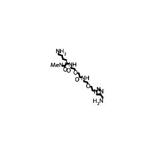 CNC(=O)[C@@H](CCCCN)NC(=O)COCC(=O)NCCOCCn1cc(CN)nn1